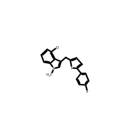 Cn1cc(Cc2ccc(-c3ccc(F)cc3)s2)c2c(Cl)cccc21